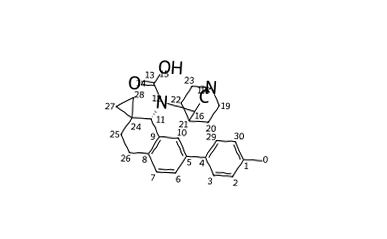 Cc1ccc(-c2ccc3c(c2)[C@@H](N(C(=O)O)C2CN4CCC2CC4)C2(CC3)CC2)cc1